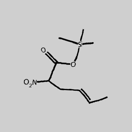 C/C=C/CC(C(=O)O[Si](C)(C)C)[N+](=O)[O-]